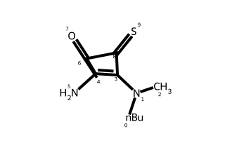 CCCCN(C)c1c(N)c(=O)c1=S